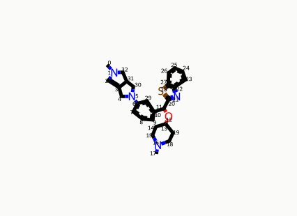 CN1C=C2CN(c3cccc(C(OC4CCN(C)CC4)c4nc5ccccc5s4)c3)CC2C1